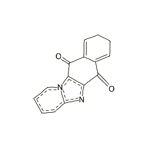 O=C1C2=CCCC=C2C(=O)c2c1nc1ccccn21